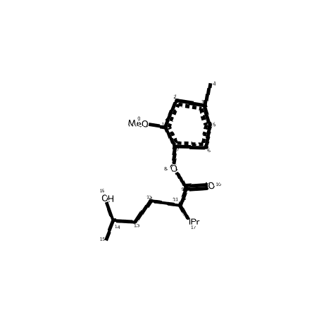 COc1cc(C)ccc1OC(=O)C(CCC(C)O)C(C)C